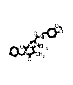 Cc1c(=O)n(Cc2ccccc2)c(=O)n2cc(C(=O)NCc3ccc4c(c3)OCO4)n(C)c12